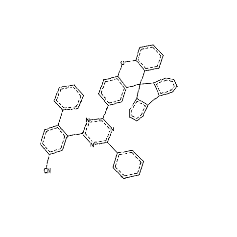 N#Cc1ccc(-c2ccccc2)c(-c2nc(-c3ccccc3)nc(-c3ccc4c(c3)C3(c5ccccc5O4)c4ccccc4-c4ccccc43)n2)c1